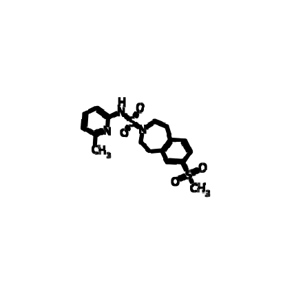 Cc1cccc(NS(=O)(=O)N2CCc3ccc(S(C)(=O)=O)cc3CC2)n1